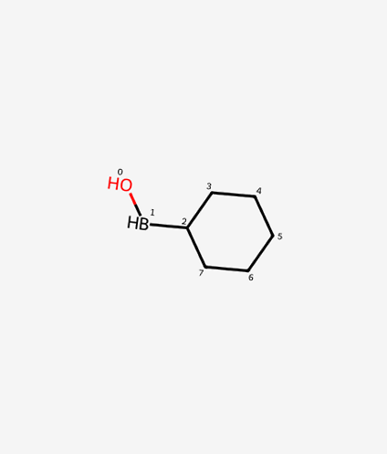 OBC1CCCCC1